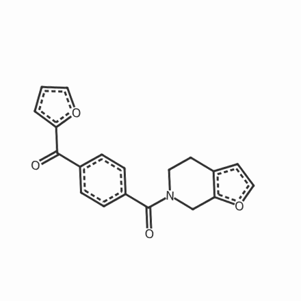 O=C(c1ccc(C(=O)N2CCc3ccoc3C2)cc1)c1ccco1